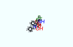 O=C(O)c1c(S(=O)(=O)NC(F)(F)F)c2ccccc2n1Cc1ccccc1